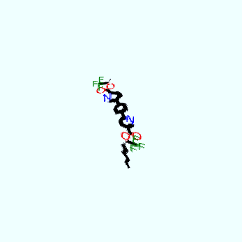 CCCCCC[C@H](OC(=O)c1ccc(-c2ccc(-c3ccc(C(=O)O[C@@H](C)C(F)(F)F)nc3)cc2)nc1)C(F)(F)F